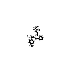 CN(/N=C/c1cccc[n+]1CCCS(=O)(=O)[O-])c1ccc(O)cc1